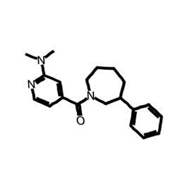 CN(C)c1cc(C(=O)N2CCCCC(c3ccccc3)C2)ccn1